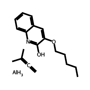 C=C=C(C)C.CCCCCOc1cc2ccccc2nc1O.[AlH3]